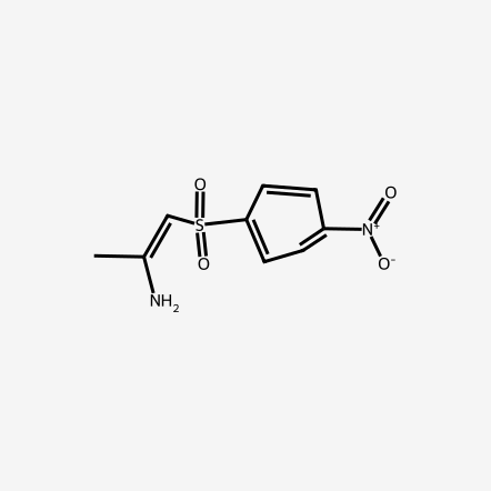 CC(N)=CS(=O)(=O)c1ccc([N+](=O)[O-])cc1